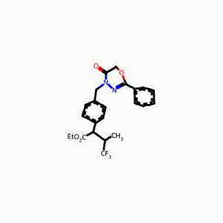 CCOC(=O)C(c1ccc(CN2N=C(c3ccccc3)OCC2=O)cc1)C(C)C(F)(F)F